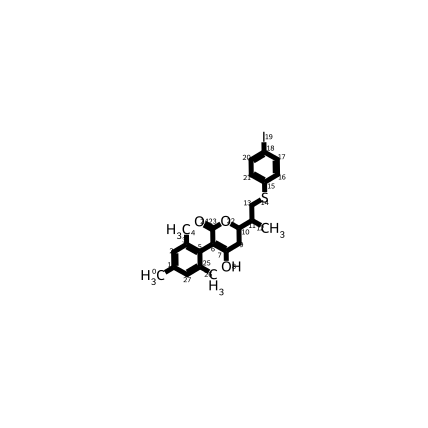 Cc1cc(C)c(C2=C(O)CC(C(C)CSc3ccc(I)cc3)OC2=O)c(C)c1